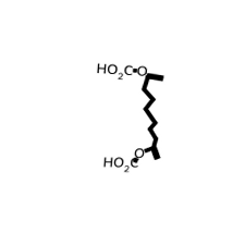 C=C(CCCCCCC(=C)OC(=O)O)OC(=O)O